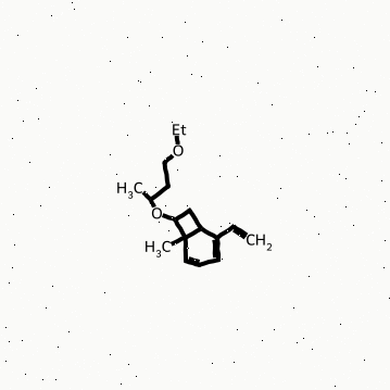 C=CC1=CC=CC2(C)C(OC(C)CCOCC)CC12